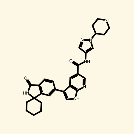 O=C(Nc1cnn(C2CCNCC2)c1)c1cnc2[nH]cc(-c3ccc4c(c3)C3(CCCCC3)NC4=O)c2c1